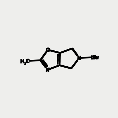 Cc1nc2c(o1)CN(C(C)(C)C)C2